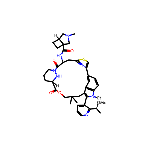 CCn1c(-c2cccnc2[C@H](C)OC)c2c3cc(ccc31)-c1csc(n1)C[C@H](NC(=O)[C@@]13CC[C@@H]1CN(C)C3)C(=O)N1CCC[C@H](N1)C(=O)OCC(C)(C)C2